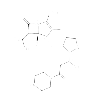 C[C@@H](O)[C@H]1C(=O)N2C(C(=O)O)=C(S[C@@H]3CN[C@H](C(O)CC(=O)N4CCNCC4)C3)[C@H](C)[C@H]12